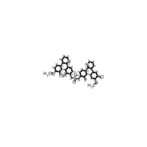 COc1ccc(-c2cccnc2-c2ccc(CS(=O)(=O)Cc3ccc(-c4ncccc4-c4ccc(OC)c(Cl)c4)cc3F)c(F)c2)cc1Cl